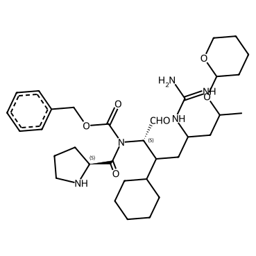 CC(CC(CC(C1CCCCC1)[C@@H](C=O)N(C(=O)OCc1ccccc1)C(=O)[C@@H]1CCCN1)NC(=N)N)OC1CCCCO1